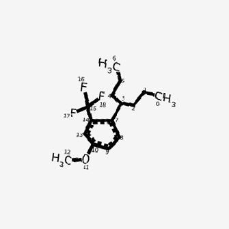 CCCC(CCC)c1ccc(OC)cc1C(F)(F)F